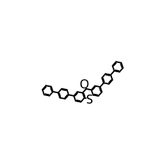 O=c1c2cc(-c3ccc(-c4ccccc4)cc3)ccc2sc2ccc(-c3ccc(-c4ccccc4)cc3)cc12